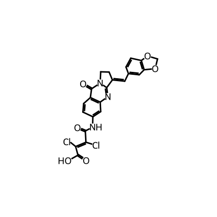 O=C(O)C(Cl)=C(Cl)C(=O)Nc1ccc2c(=O)n3c(nc2c1)C(=Cc1ccc2c(c1)OCO2)CC3